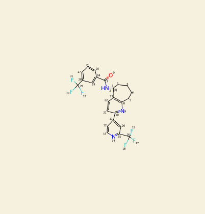 O=C(N[C@@H]1CCCCc2nc(-c3ccnc(C(F)(F)F)c3)ccc21)c1cccc(C(F)(F)F)c1